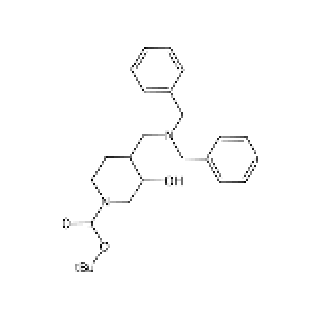 CC(C)(C)OC(=O)N1CCC(CN(Cc2ccccc2)Cc2ccccc2)C(O)C1